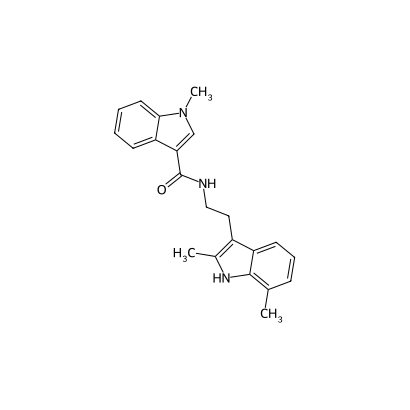 Cc1[nH]c2c(C)cccc2c1CCNC(=O)c1cn(C)c2ccccc12